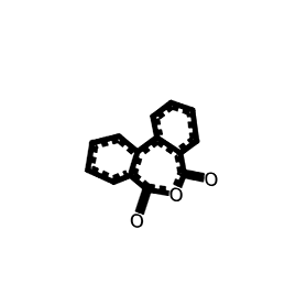 O=c1oc(=O)c2ccccc2c2ccccc12